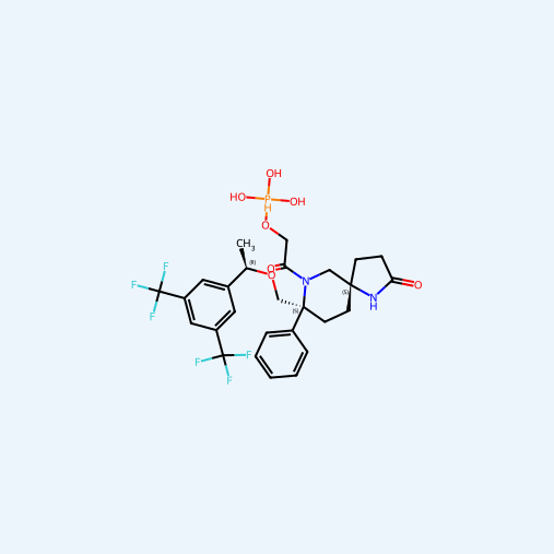 C[C@@H](OC[C@@]1(c2ccccc2)CC[C@]2(CCC(=O)N2)CN1C(=O)CO[PH](O)(O)O)c1cc(C(F)(F)F)cc(C(F)(F)F)c1